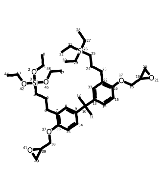 CCO[Si](CCCc1cc(C(C)(C)c2ccc(OCC3CO3)c(CCC[Si](CC)(CC)CC)c2)ccc1OCC1CO1)(OCC)OCC